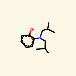 CC(C)CN(CC(C)C)c1ccccc1O